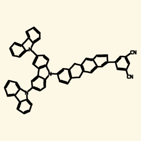 N#Cc1cc(C#N)cc(-c2ccc3cc4c(cc3c2)Cc2ccc(-n3c5ccc(-n6c7ccccc7c7ccccc76)cc5c5cc(-n6c7ccccc7c7ccccc76)ccc53)cc2C4)c1